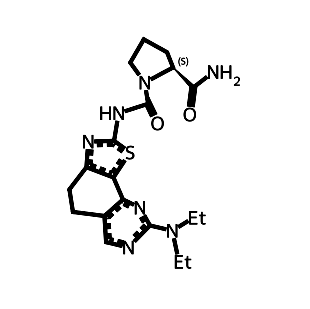 CCN(CC)c1ncc2c(n1)-c1sc(NC(=O)N3CCC[C@H]3C(N)=O)nc1CC2